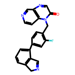 O=c1cnc2cnccc2n1Cc1ccc(-c2cccc3c2C=NC3)cc1F